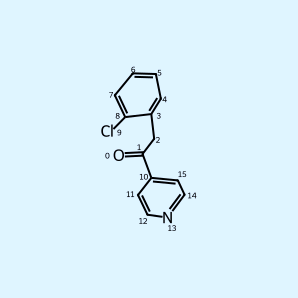 O=C(Cc1ccccc1Cl)c1ccncc1